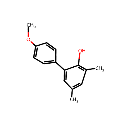 COc1ccc(-c2cc(C)cc(C)c2O)cc1